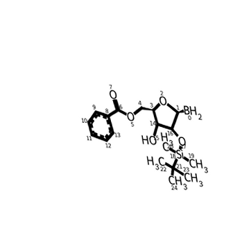 B[C@@H]1O[C@H](COC(=O)c2ccccc2)C(O)C1O[Si](C)(C)C(C)(C)C